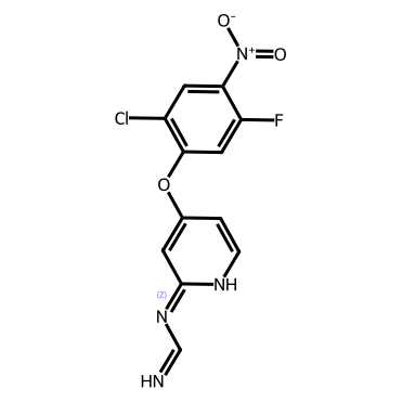 N=C/N=c1/cc(Oc2cc(F)c([N+](=O)[O-])cc2Cl)cc[nH]1